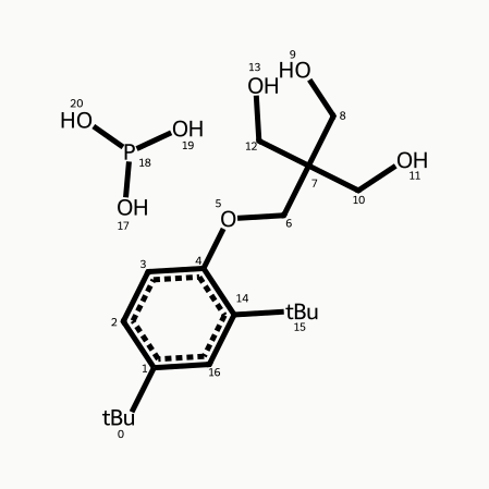 CC(C)(C)c1ccc(OCC(CO)(CO)CO)c(C(C)(C)C)c1.OP(O)O